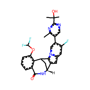 Cc1nc(C(C)(C)O)ncc1-c1cn2c3c(cc2cc1F)[C@H]1CC3c2c(OC(F)F)cccc2C(=O)N1